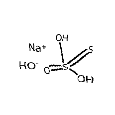 O=S(O)(O)=S.[Na+].[OH-]